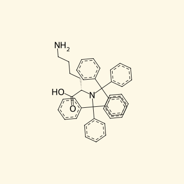 NCCCC[C@@H](C(=O)O)N(C(c1ccccc1)(c1ccccc1)c1ccccc1)C(c1ccccc1)(c1ccccc1)c1ccccc1